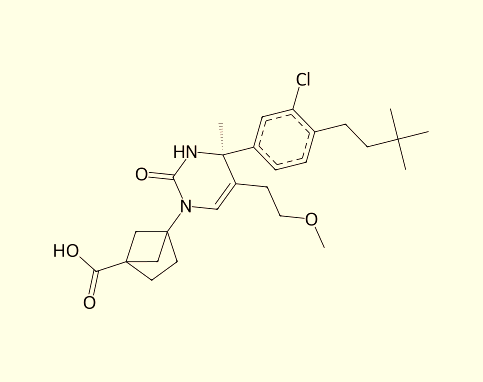 COCCC1=CN(C23CCC(C(=O)O)(C2)C3)C(=O)N[C@@]1(C)c1ccc(CCC(C)(C)C)c(Cl)c1